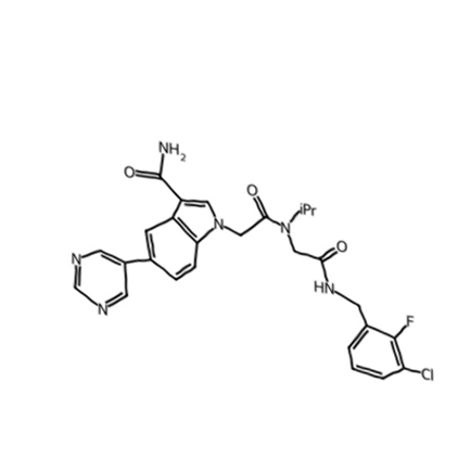 CC(C)N(CC(=O)NCc1cccc(Cl)c1F)C(=O)Cn1cc(C(N)=O)c2cc(-c3cncnc3)ccc21